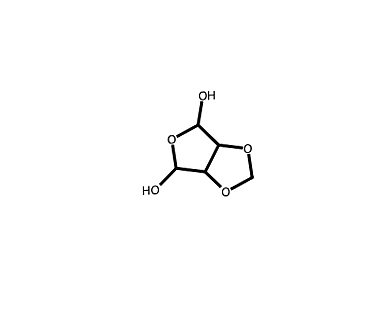 OC1OC(O)C2OCOC12